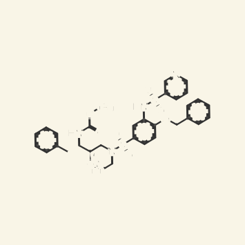 CC(=O)O[C@H](CN(CC(C)C)S(=O)(=O)c1ccc(OCc2ccccc2)c(NS(=O)(=O)c2cccnc2)c1)[C@H](Cc1ccccc1)NC(=O)OC(C)(C)C